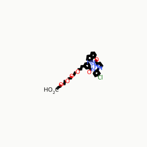 O=C(O)CCOCCOCCOCCOCCCc1cccc(C(=O)Nc2ccc(Cl)cc2-c2nccc(C(=O)N[C@H]3CCCc4ccccc43)n2)c1